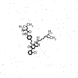 CCN(CC)CCCCNc1ncc2cc(-c3ccccc3Cl)c(=O)n(CCc3ccc(NC(=O)/C(C#N)=C/C(C)C)cc3)c2n1